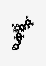 Fc1cc(F)c(F)c(-c2cc(C(F)(F)F)c(NC3C[C@@H]4CN(CC5CCOCC5)C[C@@H]4C3)nn2)c1